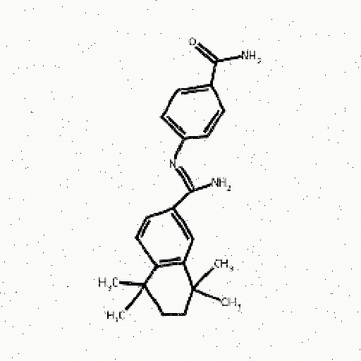 CC1(C)CCC(C)(C)c2cc(C(N)=Nc3ccc(C(N)=O)cc3)ccc21